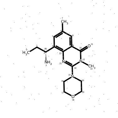 CC[C@@H](N)c1cc(C)cc2c(=O)n(C)c(N3CCOCC3)nc12